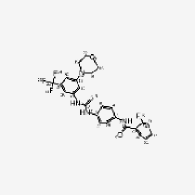 O=C(Nc1ccc(NC(=S)Nc2cc(N3CCOCC3)cc(C(F)(F)F)c2)cc1)c1ccccc1F